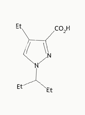 CCc1cn(C(CC)CC)nc1C(=O)O